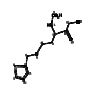 O=C(O)NC(CCOCc1ccsc1)C(=O)CCl